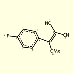 COC(=C(C#N)C#N)c1ccc(F)cc1